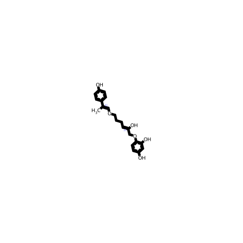 C/C(=C\OCCC/C=C(\O)COc1ccc(O)cc1O)c1ccc(O)cc1